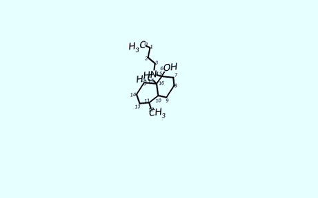 CCCCNC1(O)CCCC2C(C)CCCC21C